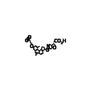 Cc1cc(OCCCS(C)(=O)=O)cc(C)c1-c1c(F)ccc2c1CCC2Oc1cc2c(cn1)[C@H](CC(=O)O)CO2